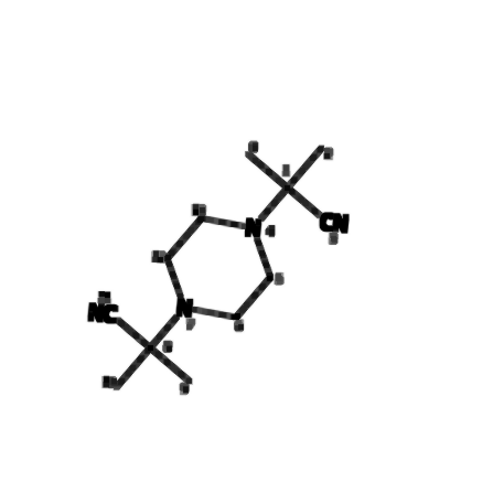 CC(C)(C#N)N1CCN(C(C)(C)C#N)CC1